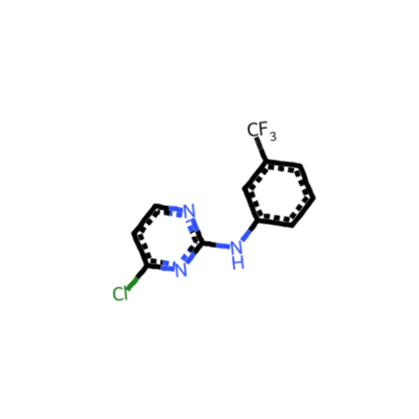 FC(F)(F)c1cccc(Nc2nccc(Cl)n2)c1